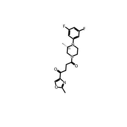 Cc1nc(C(=O)CCC(=O)N2CCN(c3cc(F)cc(F)c3)[C@@H](C)C2)co1